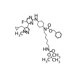 Cn1ncc(-c2nc(NC3CCC(N(CCCCCCNC(=O)OC(C)(C)C)C(=O)OCc4ccccc4)CC3)ncc2F)c1CC1CC1